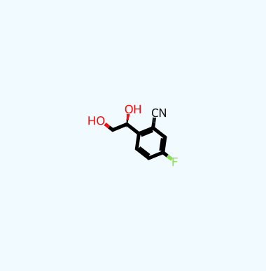 N#Cc1cc(F)ccc1[C@H](O)CO